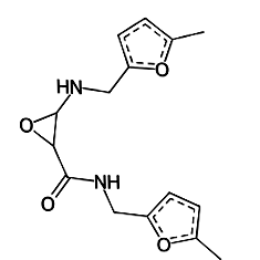 Cc1ccc(CNC(=O)C2OC2NCc2ccc(C)o2)o1